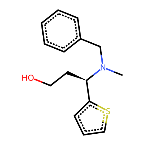 CN(Cc1ccccc1)[C@H](CCO)c1cccs1